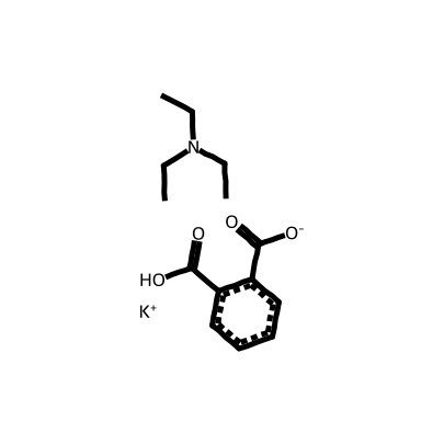 CCN(CC)CC.O=C([O-])c1ccccc1C(=O)O.[K+]